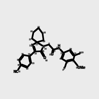 COc1c(F)cc(NC(=O)CN2C(=O)C(c3ccc(C#N)cc3)=NC23CCCCC3)cc1F